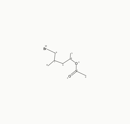 CC(=O)OC(C)CC(C)CBr